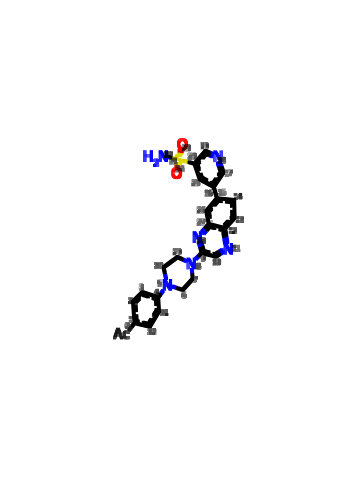 CC(=O)c1ccc(N2CCN(c3cnc4ccc(-c5cncc(S(N)(=O)=O)c5)cc4n3)CC2)cc1